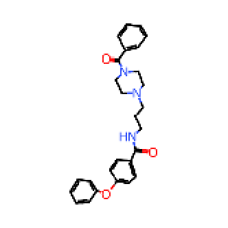 O=C(NCCCN1CCN(C(=O)c2ccccc2)CC1)c1ccc(Oc2ccccc2)cc1